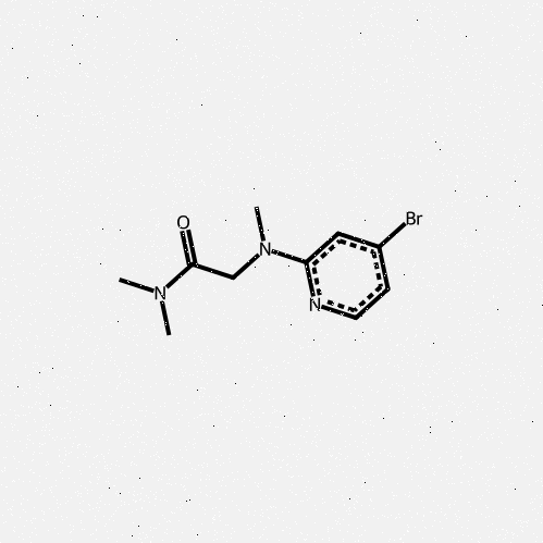 CN(C)C(=O)CN(C)c1cc(Br)ccn1